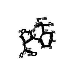 O=[N+]([O-])c1conc1-c1ccccc1C(F)(F)F